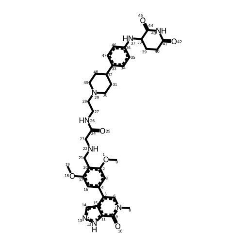 COc1cc(-c2cn(C)c(=O)c3[nH]ncc23)cc(OC)c1CNCC(=O)NCCN1CCC(c2ccc(NC3CCC(=O)NC3=O)cc2)CC1